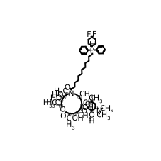 CC[C@H]1OC(=O)[C@H](C)[C@@H](O)[C@H](C)[C@@H](O[C@@H]2O[C@H](C)C[C@H](N(C)C)[C@H]2O)[C@](C)(O)C[C@@H](C)CN(C(=O)CCCCCCCCCCC[PH](c2ccccc2)(c2ccccc2)C2CCC(F)(F)CC2)[C@H](C)[C@@H](O)[C@]1(C)O